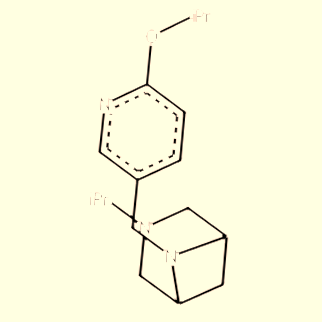 CC(C)Oc1ccc(CN2C3CC2CN(C(C)C)C3)cn1